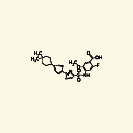 COc1cc(C(=O)O)c(F)cc1NS(=O)(=O)c1ccn(-c2ccc(C3CCC(C)(C)CC3)cc2)n1